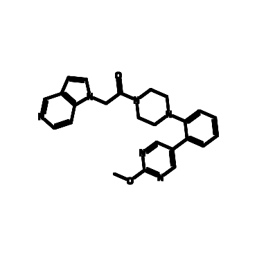 COc1ncc(-c2ccccc2N2CCN(C(=O)Cn3ccc4cnccc43)CC2)cn1